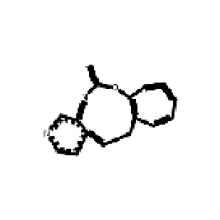 C=C1/N=c2/cncc/c2=C/CC2=C(C=C=CC=C2)O1